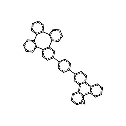 c1ccc2c(c1)-c1ccccc1-c1ccc(-c3ccc(-c4ccc5c6ccccc6c6ncccc6c5c4)cc3)cc1-c1ccccc1-2